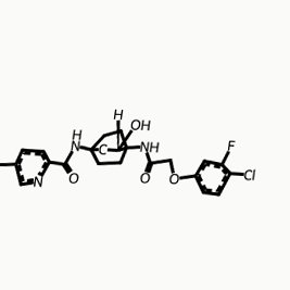 CCc1ccc(C(=O)NC23CCC(NC(=O)COc4ccc(Cl)c(F)c4)(CC2)[C@@H](O)C3)nc1